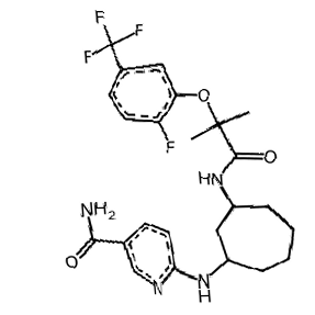 CC(C)(Oc1cc(C(F)(F)F)ccc1F)C(=O)NC1CCCCC(Nc2ccc(C(N)=O)cn2)C1